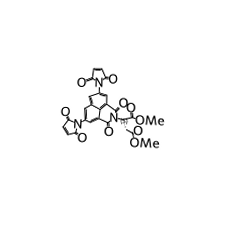 COC(=O)C[C@@H](C(=O)OC)N1C(=O)c2cc(N3C(=O)C=CC3=O)cc3cc(N4C(=O)C=CC4=O)cc(c23)C1=O